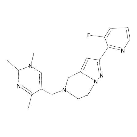 CC1=NC(C)N(C)C=C1CN1CCn2nc(-c3ncccc3F)cc2C1